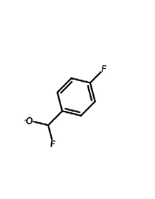 [O]C(F)c1ccc(F)cc1